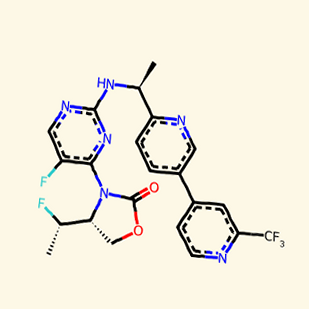 C[C@H](Nc1ncc(F)c(N2C(=O)OC[C@@H]2[C@H](C)F)n1)c1ccc(-c2ccnc(C(F)(F)F)c2)cn1